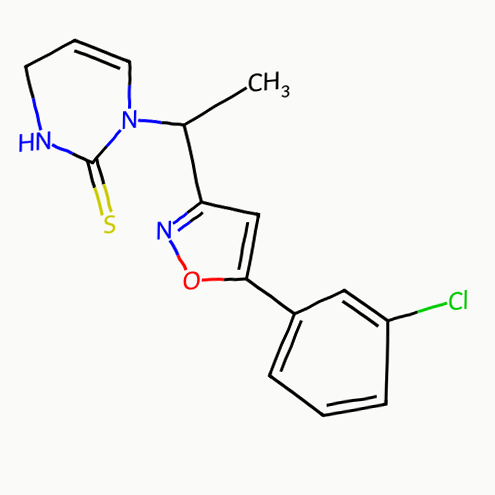 CC(c1cc(-c2cccc(Cl)c2)on1)N1C=CCNC1=S